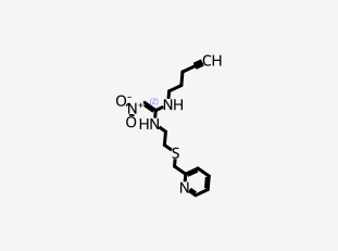 C#CCCCN/C(=C/[N+](=O)[O-])NCCSCc1ccccn1